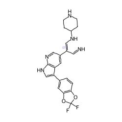 N=C/C(=C\NC1CCNCC1)c1cnc2[nH]cc(-c3ccc4c(c3)OC(F)(F)O4)c2c1